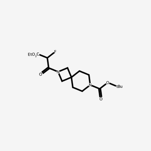 CCOC(=O)C(F)C(=O)N1CC2(CCN(C(=O)OC(C)(C)C)CC2)C1